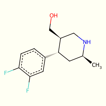 C[C@H]1C[C@H](c2ccc(F)c(F)c2)[C@@H](CO)CN1